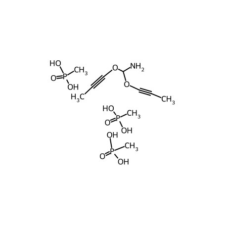 CC#COC(N)OC#CC.CP(=O)(O)O.CP(=O)(O)O.CP(=O)(O)O